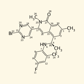 Cc1cc([C@@H](C)Nc2ccc(F)cc2C(F)(F)F)c2cc(-c3cnc(Br)nc3)n(C)c(=O)c2c1